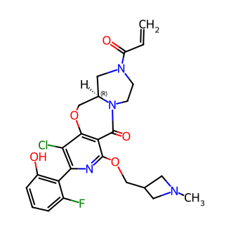 C=CC(=O)N1CCN2C(=O)c3c(OCC4CN(C)C4)nc(-c4c(O)cccc4F)c(Cl)c3OC[C@H]2C1